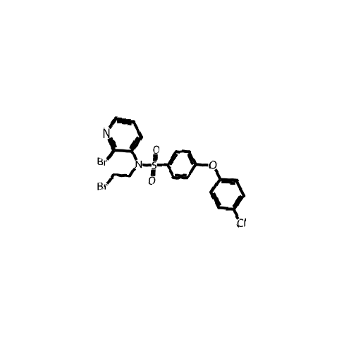 O=S(=O)(c1ccc(Oc2ccc(Cl)cc2)cc1)N(CCBr)c1cccnc1Br